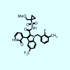 COCC1(S(=O)(=O)NC(=O)c2c(-c3ccc[nH]c3=O)c3cc(C(F)(F)F)ccc3n2Cc2cccc(C)c2F)CC1